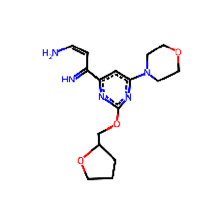 N=C(/C=C\N)c1cc(N2CCOCC2)nc(OCC2CCCO2)n1